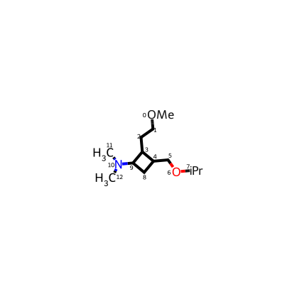 COCCC1C(COC(C)C)CC1N(C)C